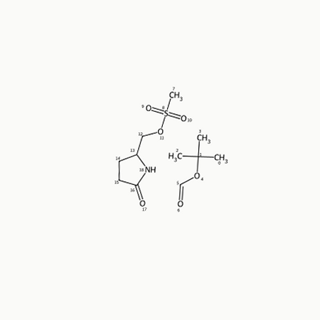 CC(C)(C)OC=O.CS(=O)(=O)OCC1CCC(=O)N1